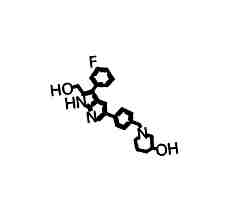 OCc1[nH]c2ncc(-c3ccc(CN4CCCC(O)C4)cc3)cc2c1-c1cccc(F)c1